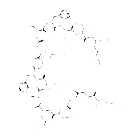 C[C@H](NC(=O)[C@H](CCC(=O)O)NC(=O)[C@H](CO)NC(=O)CNC(=O)[C@H](C)NC(=O)[C@@H](N)CCC(=O)O)C(=O)N[C@@H](CC(=O)O)C(=O)N[C@@H](Cc1c[nH]cn1)C(=O)N[C@@H](CCC(=O)O)C(=O)NCC(=O)N[C@H](C(=O)N[C@@H](Cc1c[nH]cn1)C(=O)N[C@@H](CO)C(=O)N[C@H](C(=O)N[C@@H](CCCCN)C(=O)O)[C@@H](C)O)[C@@H](C)O